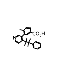 Cc1ccc(C(=O)O)cc1-c1cnccc1C(C)(C)C(C)(C)c1ccccc1